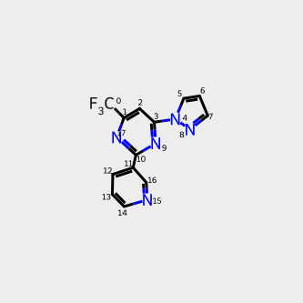 FC(F)(F)c1cc(-n2cccn2)nc(-c2cccnc2)n1